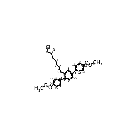 CCCCCCCOc1cc(-c2ccc(OOC)cc2)ccc1-c1ccc(OOC)cc1